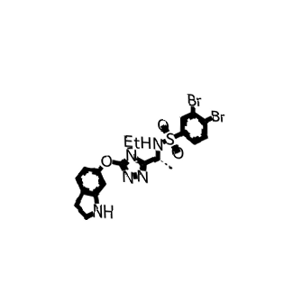 CCn1c(Oc2ccc3c(c2)NCC3)nnc1[C@@H](C)NS(=O)(=O)c1ccc(Br)c(Br)c1